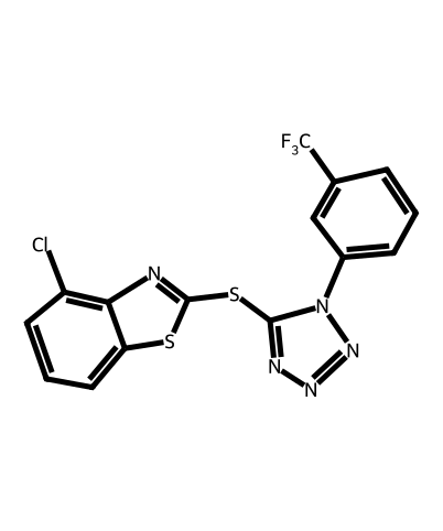 FC(F)(F)c1cccc(-n2nnnc2Sc2nc3c(Cl)cccc3s2)c1